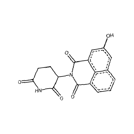 O=C1CCC(N2C(=O)c3cccc4cc(O)cc(c34)C2=O)C(=O)N1